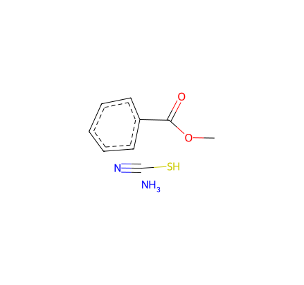 COC(=O)c1ccccc1.N.N#CS